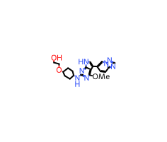 COc1nc(N[C@H]2CC[C@@H](OCCO)CC2)nc2[nH]cc(-c3ccc4ncnn4c3)c12